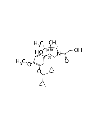 COc1ccc([C@@H]2CN(C(=O)CO)C[C@@]2(C)[C@@H](C)O)cc1OC(C1CC1)C1CC1